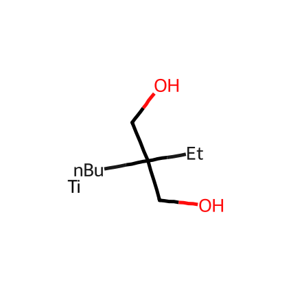 CCCCC(CC)(CO)CO.[Ti]